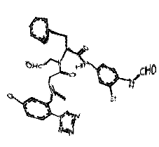 CCc1cc(NC(=O)C(Cc2ccccc2)N(CC=O)C(=O)CN(C)c2cc(Cl)ccc2-n2cnnn2)ccc1NC=O